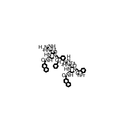 CCC(NC(=N)N)[C@@H]1N[C@H](CNC(=O)c2ccc3ccccc3c2)CCN(CC(OCc2ccccc2)c2ccccc2)C1=O.CCCOC(CN1CC[C@@H](CNC(=O)c2ccc3ccccc3c2)N[C@@H](C(CC)NC(=N)N)C1=O)c1ccccc1